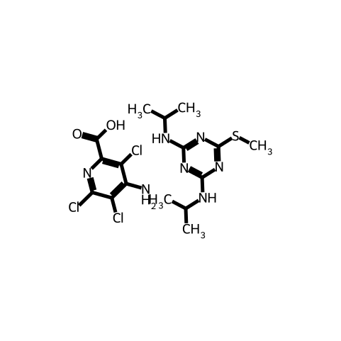 CSc1nc(NC(C)C)nc(NC(C)C)n1.Nc1c(Cl)c(Cl)nc(C(=O)O)c1Cl